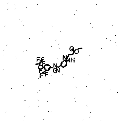 CCOC(=O)CCc1nc2cc(-c3noc(-c4ccc(OC(C)C(F)(F)F)c(C(F)(F)F)c4)n3)ccc2[nH]1